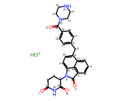 Cl.O=C1CCC(N2C(=O)c3cccc4c(Cc5ccc(C(=O)N6CCNCC6)cc5)ccc2c34)C(=O)N1